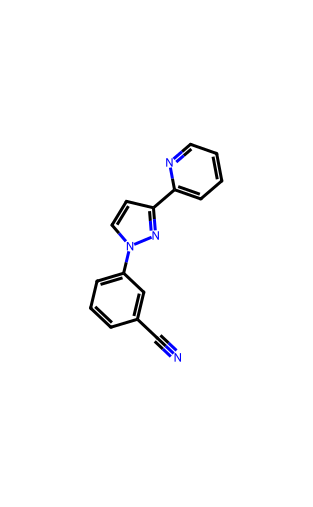 N#Cc1cccc(-n2ccc(-c3ccccn3)n2)c1